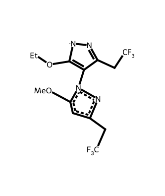 CCOC1=C(n2nc(CC(F)(F)F)cc2OC)C(CC(F)(F)F)=N[N]1